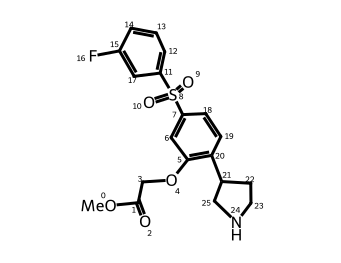 COC(=O)COc1cc(S(=O)(=O)c2cccc(F)c2)ccc1C1CCNC1